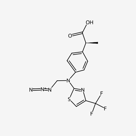 C[C@H](C(=O)O)c1ccc(N(CN=[N+]=[N-])c2nc(C(F)(F)F)cs2)cc1